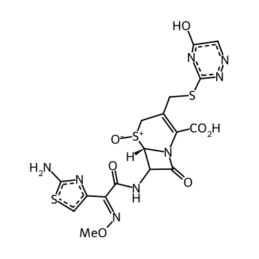 CON=C(C(=O)NC1C(=O)N2C(C(=O)O)=C(CSc3nncc(O)n3)C[S+]([O-])[C@@H]12)c1csc(N)n1